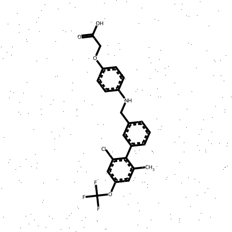 Cc1cc(OC(F)(F)F)cc(Cl)c1-c1cccc(CNc2ccc(OCC(=O)O)cc2)c1